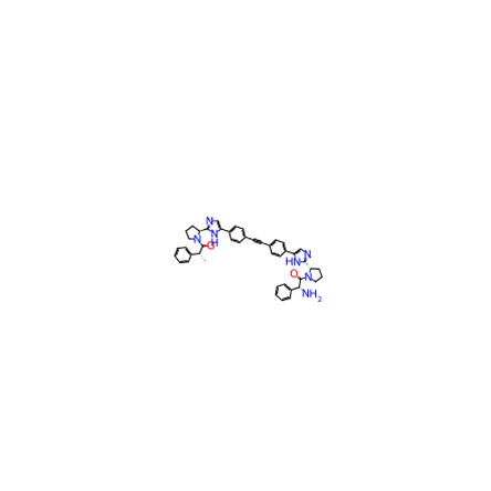 C[C@@H](C(=O)N1CCC[C@H]1c1ncc(-c2ccc(C#Cc3ccc(-c4cnc([C@@H]5CCCN5C(=O)[C@H](N)c5ccccc5)[nH]4)cc3)cc2)[nH]1)c1ccccc1